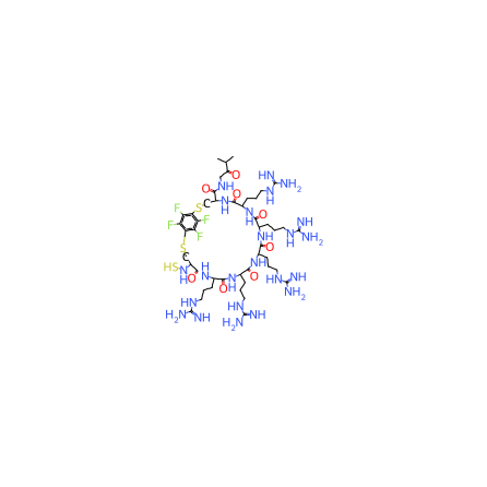 CC(C)C(=O)CNC(=O)C1CSc2c(F)c(F)c(c(F)c2F)SCC(NS)C(=O)NC(CCCNC(=N)N)C(=O)NC(CCCNC(=N)N)C(=O)NC(CCCNC(=N)N)C(=O)NC(CCCNC(=N)N)C(=O)NC(CCCNC(=N)N)C(=O)N1